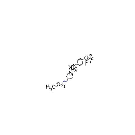 CCOC(=O)/C=C/C1CCN(c2ncn(-c3ccc(OC(F)(F)F)cc3)n2)CC1